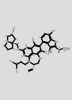 C=C[C@H]1COc2c(Cl)c(-c3ccc(F)c4sc(NC(=O)O)c(C#N)c34)c(F)c3nc(OC[C@@]45CCCN4C[C@H](F)C5)nc(c23)N1CCC(F)F